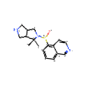 CC1(C)C2CNCC2CN1[S+]([O-])c1cccc2cnccc12